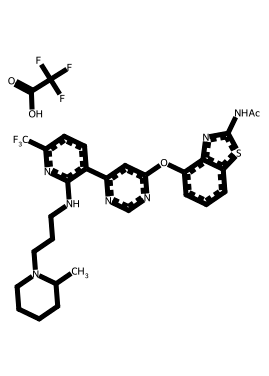 CC(=O)Nc1nc2c(Oc3cc(-c4ccc(C(F)(F)F)nc4NCCCN4CCCCC4C)ncn3)cccc2s1.O=C(O)C(F)(F)F